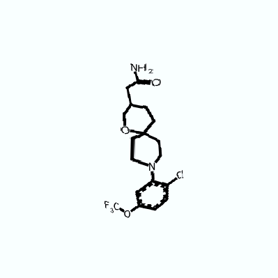 NC(=O)CC1CCC2(CCN(c3cc(OC(F)(F)F)ccc3Cl)CC2)OC1